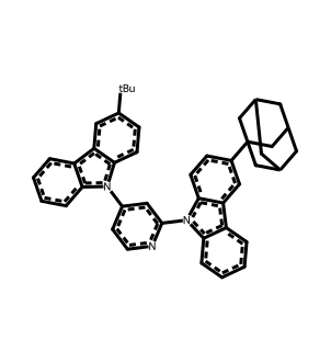 CC(C)(C)c1ccc2c(c1)c1ccccc1n2-c1ccnc(-n2c3ccccc3c3cc(C45CC6CC(CC(C6)C4)C5)ccc32)c1